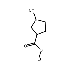 CCOC(=O)C1CCN(C#N)C1